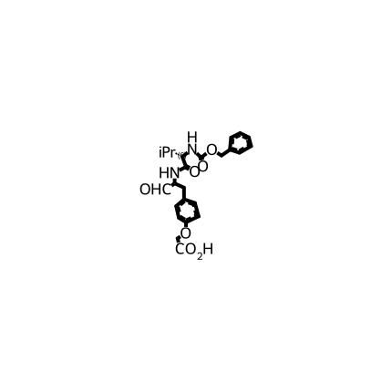 CC(C)[C@H](NC(=O)OCc1ccccc1)C(=O)NC(C=O)Cc1ccc(OCC(=O)O)cc1